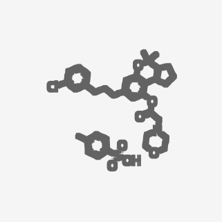 CC1(C)Oc2cc(CCCc3cccc(Cl)c3)cc(OC(=O)CN3CCOCC3)c2C2=C1CCC2.Cc1ccc(S(=O)(=O)O)cc1